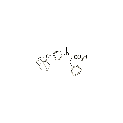 O=C(O)C(Cc1ccccc1)Nc1ccc(OC23CC4CC(CC(C4)C2)C3)cc1